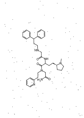 CN1CCC[C@H]1CCC(NC(=O)CNCCC(c1ccccc1)c1ccccc1)C(=O)N(CCc1ccccn1)CC(N)=O